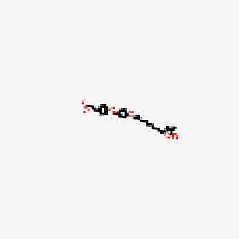 C=C1CC(CCCCCCCCCOc2ccc(C(=O)Oc3ccc(/C=C/C(=O)OC)cc3)cc2)OC1=O